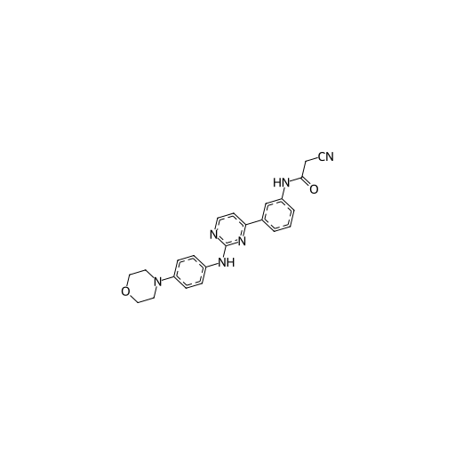 N#CCC(=O)Nc1cccc(-c2ccnc(Nc3ccc(N4CCOCC4)cc3)n2)c1